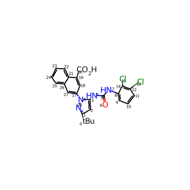 CC(C)(C)c1cc(NC(=O)Nc2cccc(Cl)c2Cl)n(-c2cc(C(=O)O)c3ccccc3c2)n1